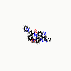 N#Cc1cnc2ccc(NC(=O)C=CCN3CCCCC3)cc2c1Nc1ccc(Oc2ccccc2)cc1